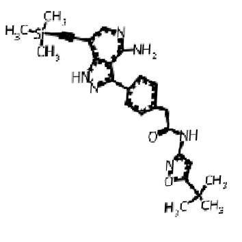 CC(C)(C)c1cc(NC(=O)Cc2ccc(-c3n[nH]c4c(C#C[Si](C)(C)C)cnc(N)c34)cc2)no1